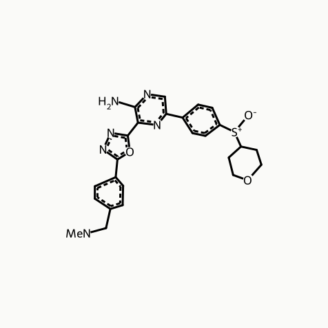 CNCc1ccc(-c2nnc(-c3nc(-c4ccc([S+]([O-])C5CCOCC5)cc4)cnc3N)o2)cc1